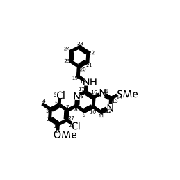 COc1cc(C)c(Cl)c(-c2cc3cnc(SC)nc3c(NCc3ccccc3)n2)c1Cl